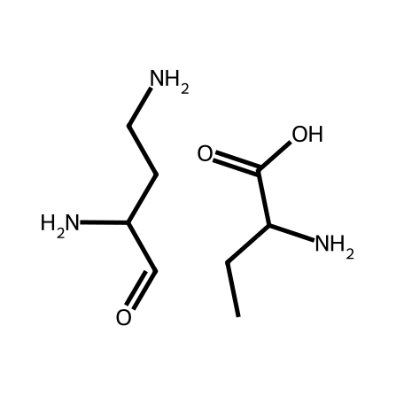 CCC(N)C(=O)O.NCCC(N)C=O